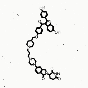 O=C1CCC(N2Cc3cc(N4CCN(CCCN5CCC(COc6ccc(C(=O)c7c(-c8ccc(O)cc8)sc8cc(O)ccc78)cc6)CC5)CC4)ccc3C2=O)C(=O)N1